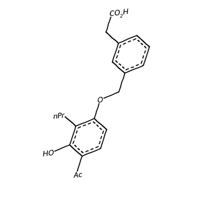 CCCc1c(OCc2cccc(CC(=O)O)c2)ccc(C(C)=O)c1O